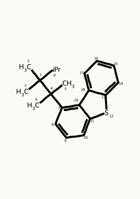 CC(C)C(C)(C)C(C)(C)c1cccc2sc3ccccc3c12